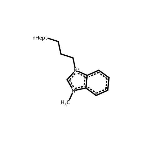 CCCCCCCCCC[n+]1cn(C)c2ccccc21